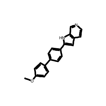 COc1ccc(-c2ccc(-c3cc4ccncc4[nH]3)cc2)cc1